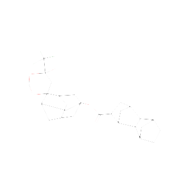 O=C(OC12CC3CC(C1)C1(CC(O)(C(F)(F)F)OCO1)C(C3)C2)C1CC2CC1C1C3CCC(C3)C21